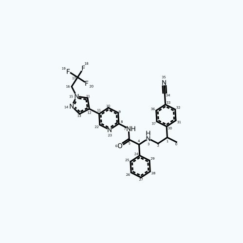 CC(CNC(C(=O)Nc1ccc(-c2cnn(CC(F)(F)F)c2)cn1)c1ccccc1)c1ccc(C#N)cc1